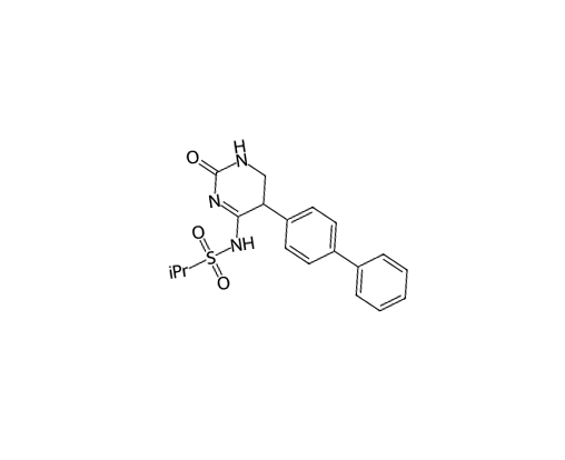 CC(C)S(=O)(=O)NC1=NC(=O)NCC1c1ccc(-c2ccccc2)cc1